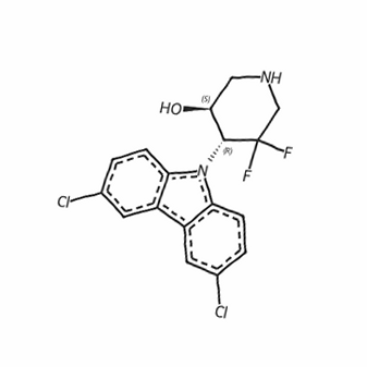 O[C@H]1CNCC(F)(F)[C@@H]1n1c2ccc(Cl)cc2c2cc(Cl)ccc21